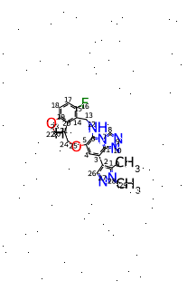 Cc1c(-c2cc3c(n4cnnc24)NCc2c(F)ccc4c2[C@@H](CO4)CO3)cnn1C